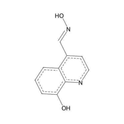 ON=Cc1ccnc2c(O)cccc12